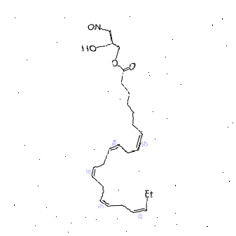 CC/C=C\C/C=C\C/C=C\C/C=C\C/C=C\CCCCCC(=O)OCC(O)CN=O